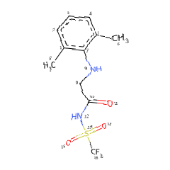 Cc1cccc(C)c1NCC(=O)NS(=O)(=O)C(F)(F)F